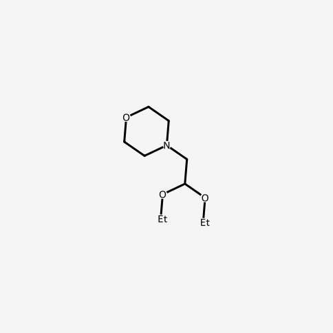 CCOC(CN1CCOCC1)OCC